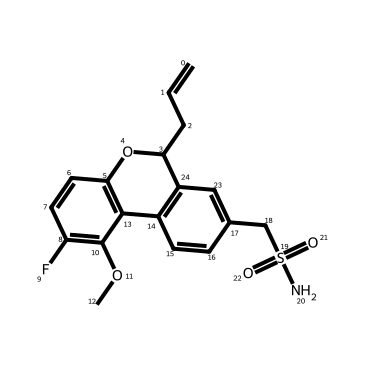 C=CCC1Oc2ccc(F)c(OC)c2-c2ccc(CS(N)(=O)=O)cc21